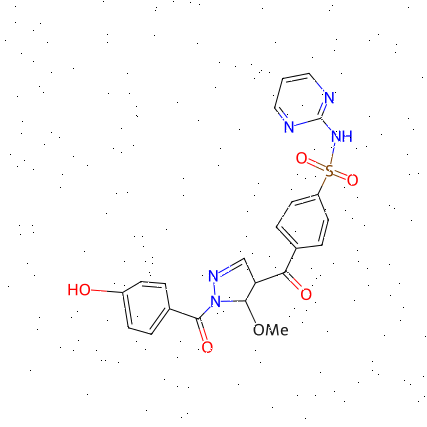 COC1C(C(=O)c2ccc(S(=O)(=O)Nc3ncccn3)cc2)C=NN1C(=O)c1ccc(O)cc1